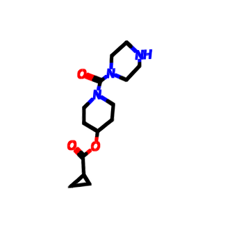 O=C(OC1CCN(C(=O)N2CCNCC2)CC1)C1CC1